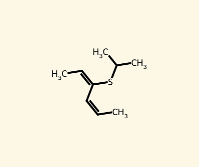 C/C=C\C(=C/C)SC(C)C